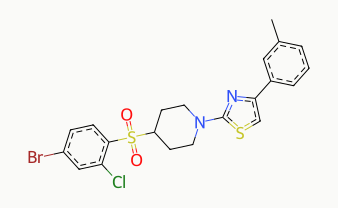 Cc1cccc(-c2csc(N3CCC(S(=O)(=O)c4ccc(Br)cc4Cl)CC3)n2)c1